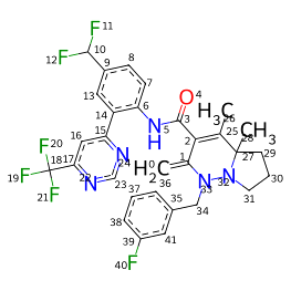 C=C1C(C(=O)Nc2ccc(C(F)F)cc2-c2cc(C(F)(F)F)ncn2)=C(C)C2(C)CCCN2N1Cc1cccc(F)c1